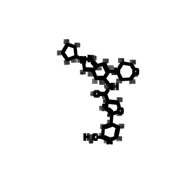 Cc1cc(-c2nc(C(=O)Nc3cc4cn(C5CCCC5)nc4cc3N3CCOCC3)co2)ccn1